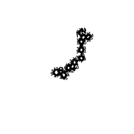 CC1(C)c2cc(-c3cccc(-c4ccc(-c5ccc6c(c5)c5ccccc5c5nccnc65)cc4)c3)ccc2-c2ccc(C3C=CC=C4C5C=CCCC5OC43)cc21